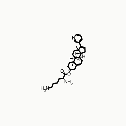 C[C@]12CC[C@H](OC(=O)[C@H](N)CCCCN)CC1=CC[C@@H]1[C@@H]2CC[C@]2(C)C(c3cccnc3)=CC[C@@H]12